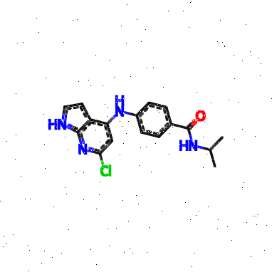 CC(C)NC(=O)c1ccc(Nc2cc(Cl)nc3[nH]ccc23)cc1